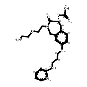 NCCOCCN1Cc2cc(OCCCNc3ccccn3)ccc2C[C@@H](CC(=O)O)C1=O